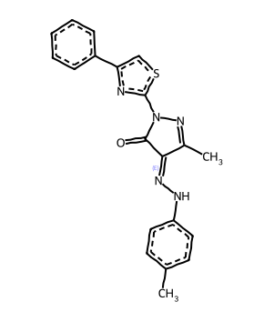 CC1=NN(c2nc(-c3ccccc3)cs2)C(=O)/C1=N/Nc1ccc(C)cc1